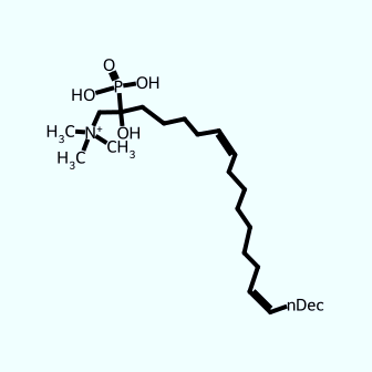 CCCCCCCCCC/C=C\CCCCCC/C=C\CCCCC(O)(C[N+](C)(C)C)P(=O)(O)O